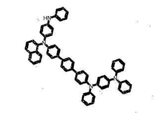 c1ccc(Nc2ccc(N(c3ccc(-c4ccc(-c5ccc(N(c6ccccc6)c6ccc(N(c7ccccc7)c7ccccc7)cc6)cc5)cc4)cc3)c3cccc4ccccc34)cc2)cc1